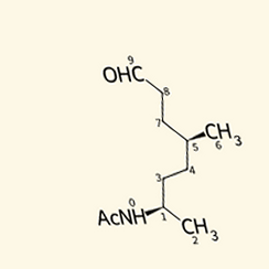 CC(=O)N[C@H](C)CC[C@H](C)CCC=O